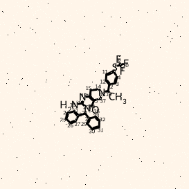 CC(c1ccc(SC(F)(F)F)cc1)N1CCc2nc(N)n(C(c3ccccc3)c3ccccc3)c(=O)c2C1